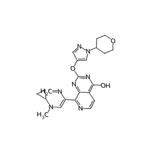 C=N/C(=C\N(C)C1CC1)c1nccc2c(O)nc(Oc3cnn(C4CCOCC4)c3)nc12